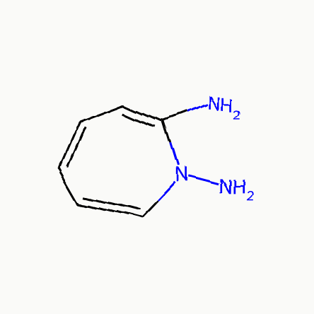 NC1=CC=CC=CN1N